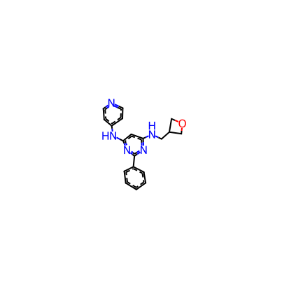 c1ccc(-c2nc(NCC3COC3)cc(Nc3ccncc3)n2)cc1